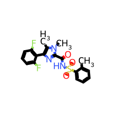 Cc1ccccc1S(=O)(=O)NC(=O)c1nc(-c2c(F)cccc2F)c(C)n1C